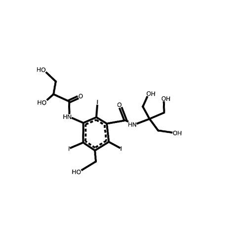 O=C(NC(CO)(CO)CO)c1c(I)c(CO)c(I)c(NC(=O)C(O)CO)c1I